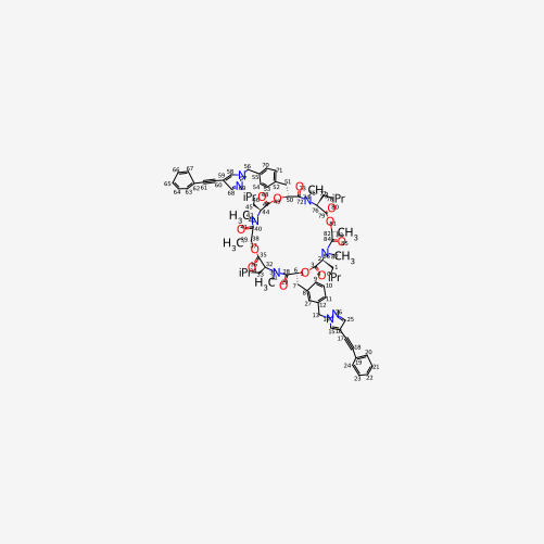 CC(C)C[C@H]1C(=O)O[C@H](Cc2cccc(Cn3cc(C#Cc4ccccc4)cn3)c2)C(=O)N(C)[C@@H](CC(C)C)C(=O)O[C@H](C)C(=O)N(C)[C@@H](CC(C)C)C(=O)O[C@H](Cc2ccc(Cn3cc(C#Cc4ccccc4)cn3)cc2)C(=O)N(C)[C@@H](CC(C)C)C(=O)O[C@H](C)C(=O)N1C